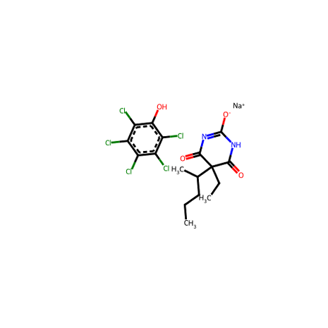 CCCC(C)C1(CC)C(=O)N=C([O-])NC1=O.Oc1c(Cl)c(Cl)c(Cl)c(Cl)c1Cl.[Na+]